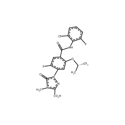 C[C@H](Oc1cc(-n2nc(C(=O)O)n(C)c2=O)c(F)cc1C(=O)Nc1c(F)cccc1Cl)C(F)(F)F